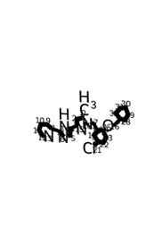 Cc1cc(-c2cnc(-c3ccccn3)[nH]2)nn1Cc1cc(Cl)ccc1OCc1ccccc1